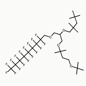 CC(C)(C)CC(C)(C)COC(COCC(F)(F)C(F)(F)C(F)(F)C(F)(F)C(F)(F)C(F)(F)C(F)(F)C(F)(F)F)COC(C)(C)CCOC(C)(C)C